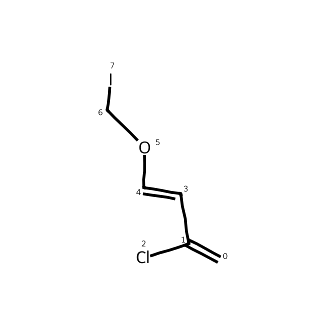 C=C(Cl)C=COCI